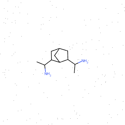 CC(N)C1CC2CC(C(C)N)C1C2